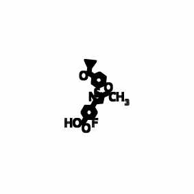 C[C@@H](Oc1ccc(C(=O)C2CC2)cc1)c1cc(-c2ccc(C(=O)O)c(F)c2)ns1